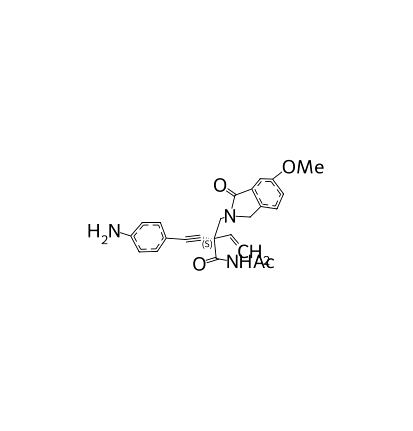 C=C[C@](C#Cc1ccc(N)cc1)(CN1Cc2ccc(OC)cc2C1=O)C(=O)NC(C)=O